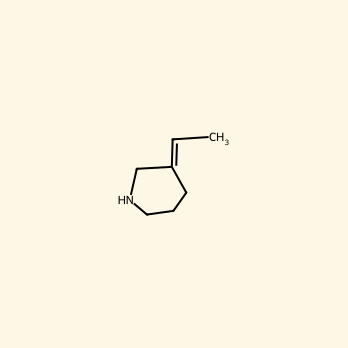 CC=C1CCCNC1